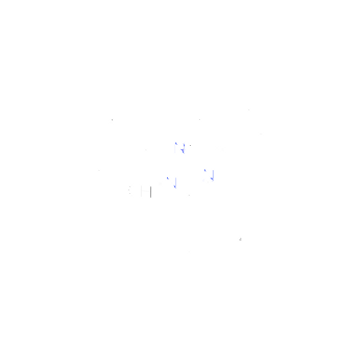 Cc1ccccc1-c1nc(-c2ccccc2)nc(-c2ccccc2)n1